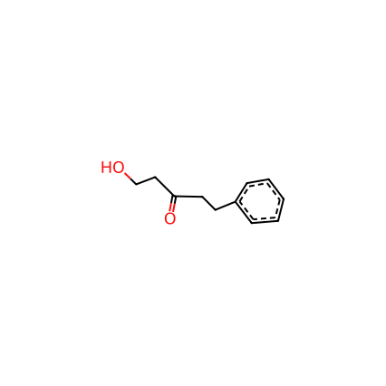 O=C(CCO)CCc1ccccc1